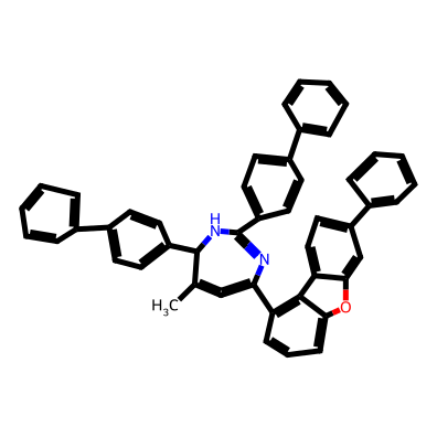 CC1=C=C(c2cccc3oc4cc(-c5ccccc5)ccc4c23)N=C(c2ccc(-c3ccccc3)cc2)NC1c1ccc(-c2ccccc2)cc1